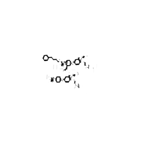 CN(C)CCn1c(=O)oc2cc(N3CCN(C(=O)NCCCCc4ccccc4)C(C(C)(C)C)C3)ccc21.CN(C)CCn1c(=O)oc2cc(N3CCN(C(=O)O)CC3)ccc21